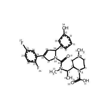 CC(C1CN(C)CCN1C(=O)O)N(C)C(=O)N1CC(c2cc(F)ccc2F)=CC1c1cccc(O)c1